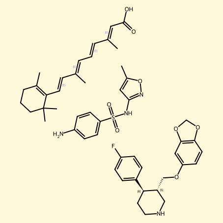 CC1=C(/C=C/C(C)=C/C=C/C(C)=C/C(=O)O)C(C)(C)CCC1.Cc1cc(NS(=O)(=O)c2ccc(N)cc2)no1.Fc1ccc([C@@H]2CCNC[C@H]2COc2ccc3c(c2)OCO3)cc1